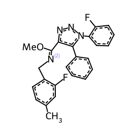 CO/C(=N\Cc1ccc(C)cc1F)c1nnn(-c2ccccc2F)c1-c1ccccc1